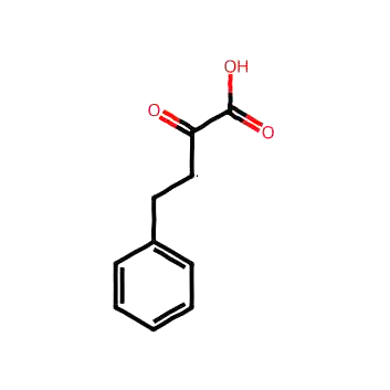 O=C(O)C(=O)[CH]Cc1ccccc1